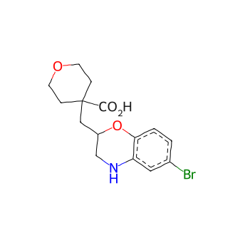 O=C(O)C1(CC2CNc3cc(Br)ccc3O2)CCOCC1